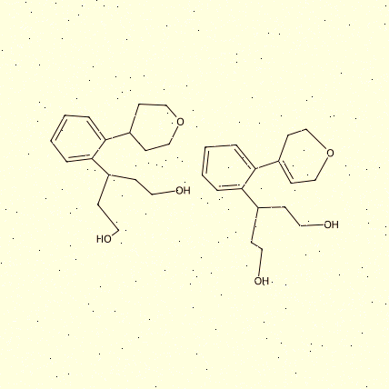 OCCC(CCO)c1ccccc1C1=CCOCC1.OCCC(CCO)c1ccccc1C1CCOCC1